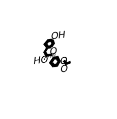 CC(=O)Oc1cccc([C@H]2Oc3cc(O)ccc3C[C@H]2O)c1